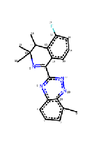 Cc1cccc2nc(C3=NC(C)(C)C(C)c4c(F)cccc43)nnc12